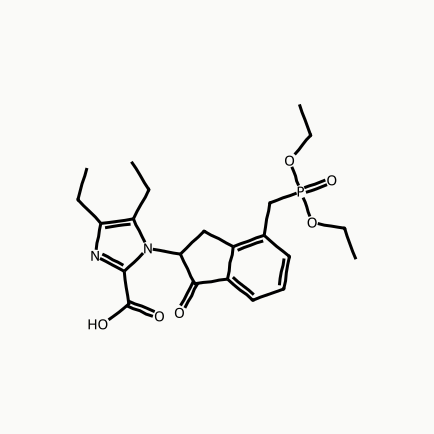 CCOP(=O)(Cc1cccc2c1CC(n1c(C(=O)O)nc(CC)c1CC)C2=O)OCC